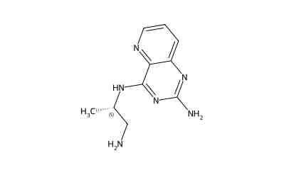 C[C@@H](CN)Nc1nc(N)nc2cccnc12